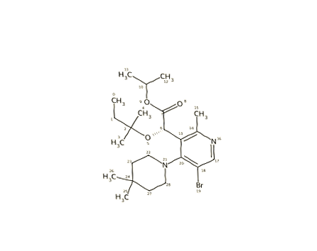 CCC(C)(C)O[C@H](C(=O)OC(C)C)c1c(C)ncc(Br)c1N1CCC(C)(C)CC1